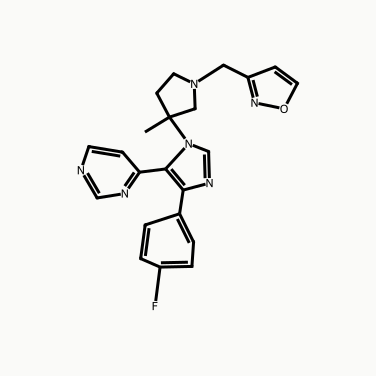 CC1(n2cnc(-c3ccc(F)cc3)c2-c2ccncn2)CCN(Cc2ccon2)C1